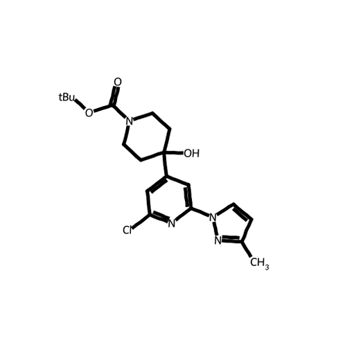 Cc1ccn(-c2cc(C3(O)CCN(C(=O)OC(C)(C)C)CC3)cc(Cl)n2)n1